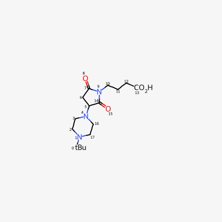 CC(C)(C)N1CCN(C2CC(=O)N(CCCC(=O)O)C2=O)CC1